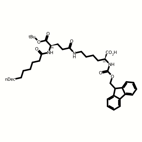 CCCCCCCCCCCCCCCC(=O)N[C@H](CCC(=O)NCCCC[C@H](NC(=O)OCC1c2ccccc2-c2ccccc21)C(=O)O)C(=O)OC(C)(C)C